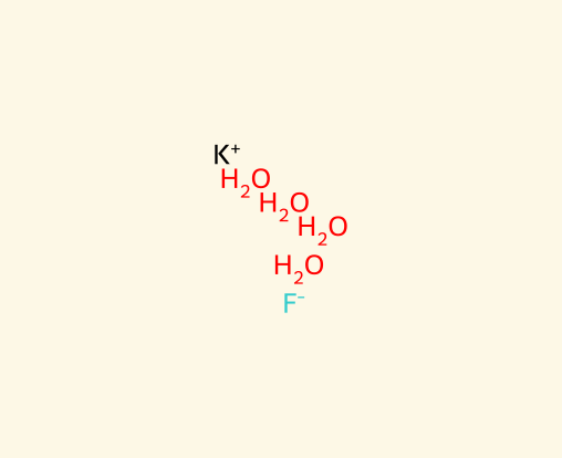 O.O.O.O.[F-].[K+]